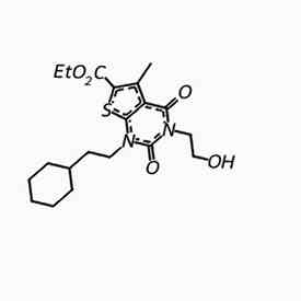 CCOC(=O)c1sc2c(c1C)c(=O)n(CCO)c(=O)n2CCC1CCCCC1